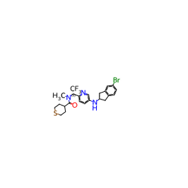 CN(C(=O)C1CCSCC1)[C@@H](c1ccc(NC2Cc3ccc(Br)cc3C2)cn1)C(F)(F)F